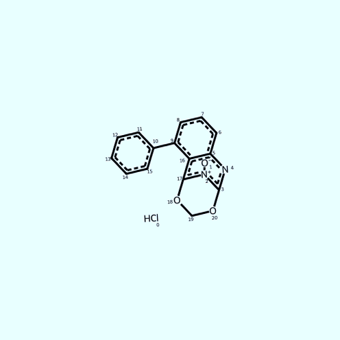 Cl.[O-][n+]1c2nc3cccc(-c4ccccc4)c3c1OCO2